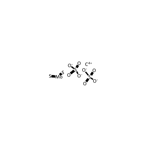 O=S(=O)([O-])[O-].O=S(=O)([O-])[O-].[C+4].[S]=[Mo]=[S]